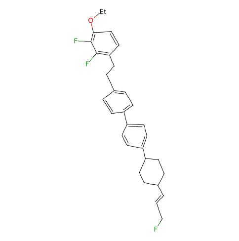 CCOc1ccc(CCc2ccc(-c3ccc(C4CCC(/C=C/CF)CC4)cc3)cc2)c(F)c1F